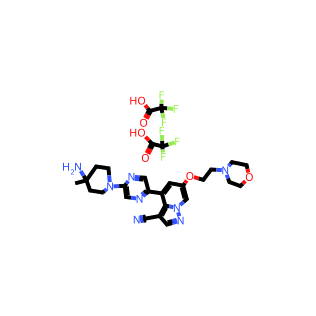 CC1(N)CCN(c2cnc(-c3cc(OCCN4CCOCC4)cn4ncc(C#N)c34)cn2)CC1.O=C(O)C(F)(F)F.O=C(O)C(F)(F)F